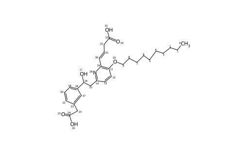 CCCCCCCCCCOc1ccc(CC(O)c2cccc(CC(=O)O)c2)nc1/C=C/CC(=O)O